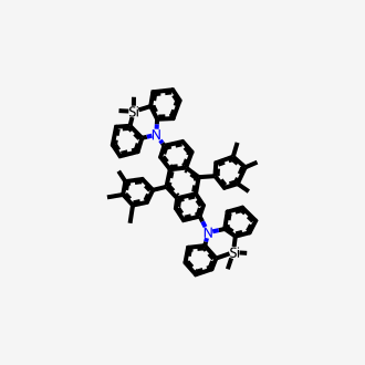 Cc1cc(-c2c3ccc(N4c5ccccc5[Si](C)(C)c5ccccc54)cc3c(-c3cc(C)c(C)c(C)c3)c3ccc(N4c5ccccc5[Si](C)(C)c5ccccc54)cc23)cc(C)c1C